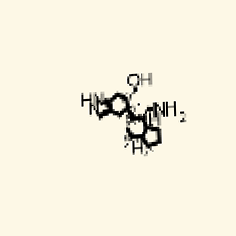 C[C@@H]1C[C@H]([C@@]2(C)Cc3cn[nH]c3C[C@@H]2CO)[C@@H](CN)[C@H]2CC[C@H](C)[C@@H]21